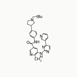 Cc1ncc(C(=O)Nc2ccc(C3CCN(CC(C)(C)C)C3)cc2)cc1Nc1nccc(-c2cccnc2)n1